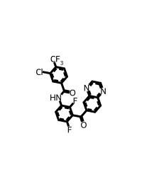 O=C(Nc1ccc(F)c(C(=O)c2ccc3nccnc3c2)c1F)c1ccc(C(F)(F)F)c(Cl)c1